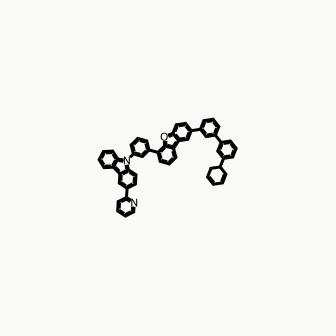 C1=CCC(c2cccc(-c3cccc(-c4ccc5oc6c(-c7cccc(-n8c9ccccc9c9cc(-c%10ccccn%10)ccc98)c7)cccc6c5c4)c3)c2)C=C1